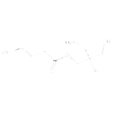 CCC(CO)(CO)COC(=O)CCCC(C)C